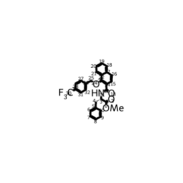 COC(=O)[C@H](Cc1ccccc1)NC(=O)c1ccc2ccccc2c1OCc1ccc(C(F)(F)F)cc1